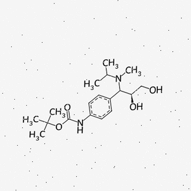 CC(C)N(C)C(c1ccc(NC(=O)OC(C)(C)C)cc1)[C@H](O)CO